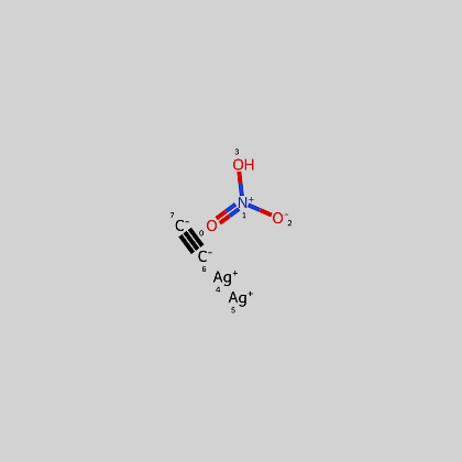 O=[N+]([O-])O.[Ag+].[Ag+].[C-]#[C-]